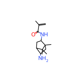 C=C(C)C(=O)NC1CC2C(N)CC1(C)C2(C)C